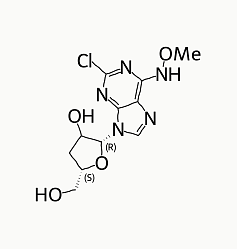 CONc1nc(Cl)nc2c1ncn2[C@@H]1O[C@H](CO)CC1O